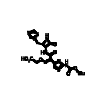 CC(C)(C)OC(=O)Nc1nc(/C(=N/OCC(=O)O)C(=O)N[C@@H]2C(=O)N[C@@H]2Cn2cncn2)cs1